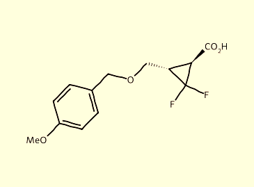 COc1ccc(COC[C@@H]2[C@@H](C(=O)O)C2(F)F)cc1